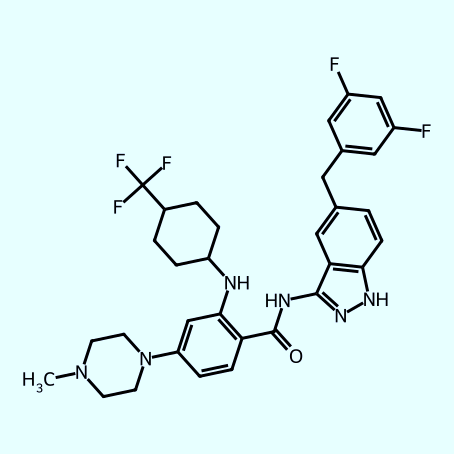 CN1CCN(c2ccc(C(=O)Nc3n[nH]c4ccc(Cc5cc(F)cc(F)c5)cc34)c(NC3CCC(C(F)(F)F)CC3)c2)CC1